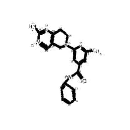 Cc1cc(C(=O)Nc2ccccc2)cc(N2CCc3nc(N)ncc3C2)n1